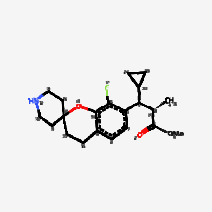 COC(=O)[C@@H](C)C(c1ccc2c(c1F)OC1(CCNCC1)CC2)C1CC1